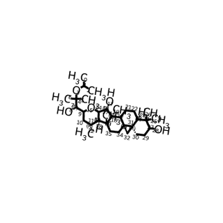 CC(C)OC(C)(C)[C@H](O)C1C[C@@H](C)[C@H]2C(O1)[C@H](O)[C@@]1(C)C3CC[C@H]4C(C)(C)C(O)CC[C@@]45C[C@@]35CC[C@]21C